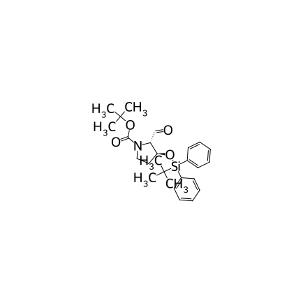 CC(C)(C)OC(=O)N1CC[C@H](O[Si](c2ccccc2)(c2ccccc2)C(C)(C)C)[C@H]1C=O